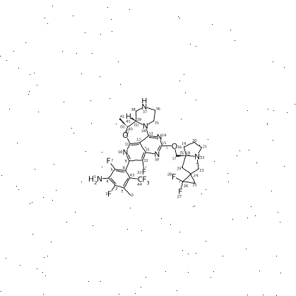 Cc1c(F)c(N)c(F)c(-c2nc3c4c(nc(OC[C@@]56CCCN5CC5(CC5(F)F)C6)nc4c2F)N2CCNC[C@H]2[C@H](C)O3)c1C(F)(F)F